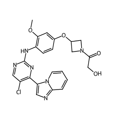 COc1cc(OC2CN(C(=O)CO)C2)ccc1Nc1ncc(Cl)c(-c2cnc3ccccn23)n1